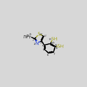 CCCc1nc(-c2cccc(S)c2S)cs1